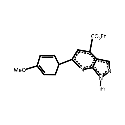 CCOC(=O)c1cc(C2C=CC(OC)=CC2)nc2c1cnn2C(C)C